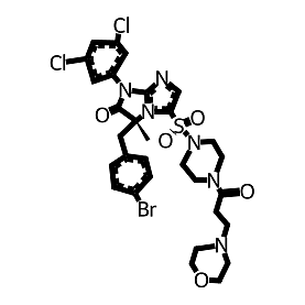 C[C@@]1(Cc2ccc(Br)cc2)C(=O)N(c2cc(Cl)cc(Cl)c2)c2ncc(S(=O)(=O)N3CCN(C(=O)CCN4CCOCC4)CC3)n21